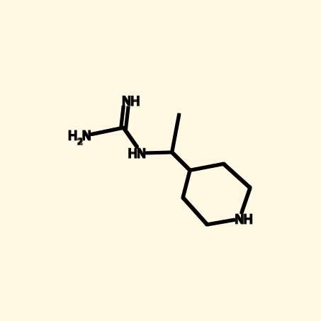 CC(NC(=N)N)C1CCNCC1